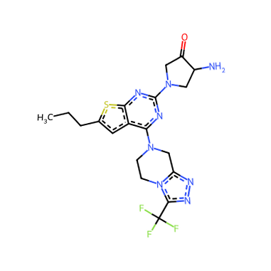 CCCc1cc2c(N3CCn4c(nnc4C(F)(F)F)C3)nc(N3CC(=O)C(N)C3)nc2s1